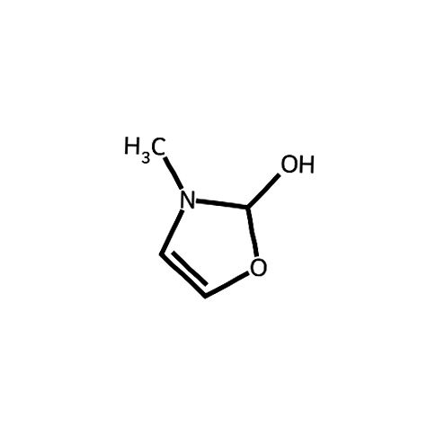 CN1C=COC1O